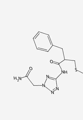 CC(=O)SCC(Cc1ccccc1)C(=O)Nc1nnn(CC(N)=O)n1